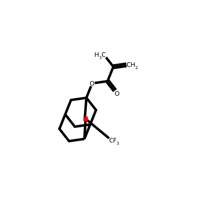 C=C(C)C(=O)OC12CC3CCC(C(C3)C1)C(C(F)(F)F)C2